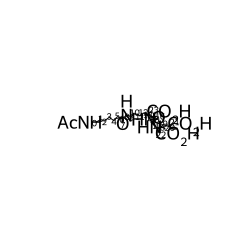 CC(=O)NCCCCCC(=O)NCCCC[C@H](NC(=O)N[C@@H](CCC(=O)O)C(=O)O)C(=O)O